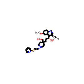 COc1ccc2ncc(C)c([C@@H](O)CCC3(CO)CCN(CCSc4ccccn4)CC3)c2c1